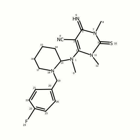 CN(c1c(C#N)c(=N)n(C)c(=S)n1C)C1CCCCN1Cc1ccc(F)cc1